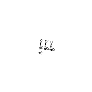 O=N[O-].O=N[O-].O=N[O-].[Tl+3]